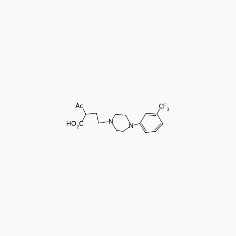 CC(=O)C(CCN1CCN(c2cccc(C(F)(F)F)c2)CC1)C(=O)O